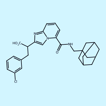 O=C(NCC12CC3CC(CC(C3)C1)C2)c1cccc2nc(C(Cc3cccc(Cl)c3)C(=O)O)cn12